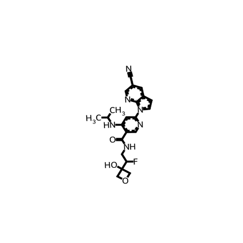 CC(C)Nc1cc(-n2ccc3cc(C#N)cnc32)ncc1C(=O)NCC(F)C1(O)COC1